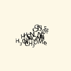 COc1cc(N(C)CCN(C)C)c(N)cc1Nc1ncc(OCC(F)F)c(-c2cn3c4c(cccc24)CCC3)n1